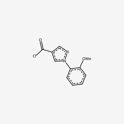 COc1ccccc1-n1cc(C(=O)Cl)cn1